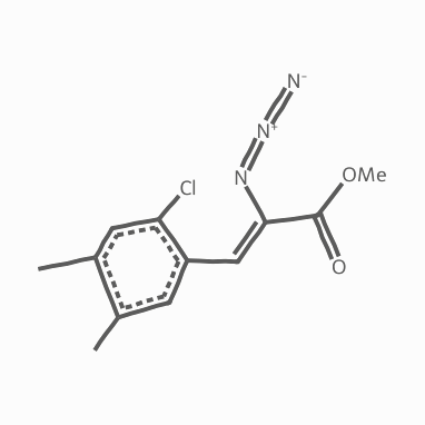 COC(=O)/C(=C/c1cc(C)c(C)cc1Cl)N=[N+]=[N-]